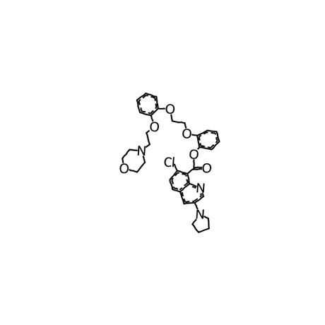 O=C(Oc1ccccc1OCCOc1ccccc1OCCN1CCOCC1)c1c(Cl)ccc2cc(N3CCCC3)cnc12